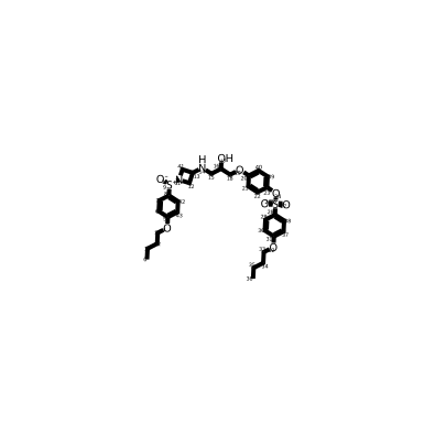 CCCCOc1ccc([S+]([O-])N2CC(NCC(O)COc3ccc(OS(=O)(=O)c4ccc(OCCCC)cc4)cc3)C2)cc1